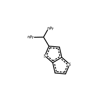 CCCC(CCC)c1cc2sccc2s1